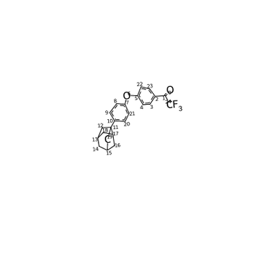 O=C(c1ccc(Oc2ccc(C34CC5CC(CC3C5)C4)cc2)cc1)C(F)(F)F